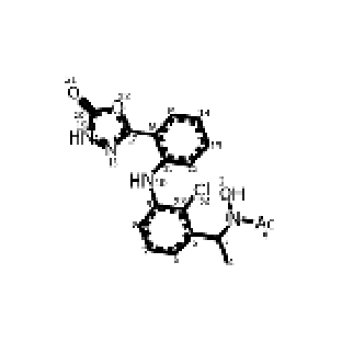 CC(=O)N(O)C(C)c1cccc(Nc2ccccc2-c2n[nH]c(=O)o2)c1Cl